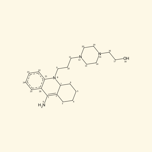 NC1=C2CCCCC2N(CCCN2CCN(CCO)CC2)c2ccccc21